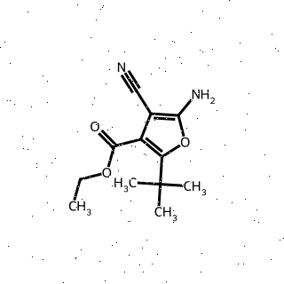 CCOC(=O)c1c(C(C)(C)C)oc(N)c1C#N